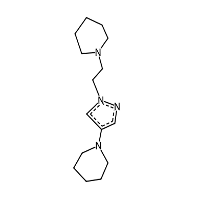 c1nn(CCN2CCCCC2)cc1N1CCCCC1